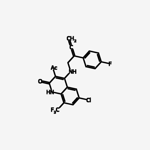 C=C=C(CNc1c(C(C)=O)c(=O)[nH]c2c(C(F)(F)F)cc(Cl)cc12)c1ccc(F)cc1